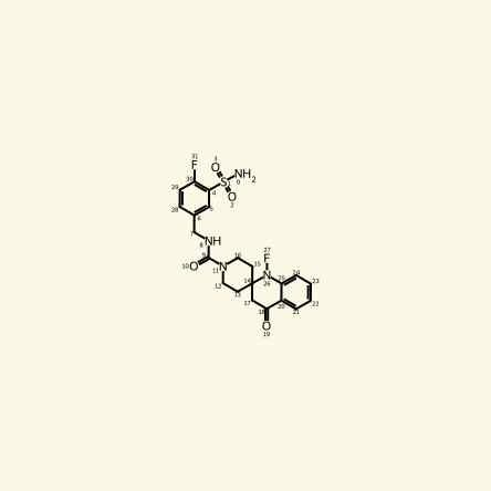 NS(=O)(=O)c1cc(CNC(=O)N2CCC3(CC2)CC(=O)c2ccccc2N3F)ccc1F